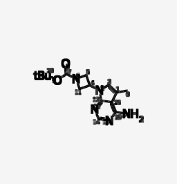 Cc1cn(C2CN(C(=O)OC(C)(C)C)C2)c2ncnc(N)c12